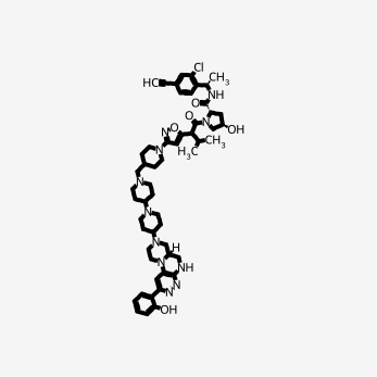 C#Cc1ccc([C@H](C)NC(=O)[C@@H]2C[C@@H](O)CN2C(=O)C(c2cc(N3CCC(CN4CCC(N5CCC(N6CCN7c8cc(-c9ccccc9O)nnc8NC[C@H]7C6)CC5)CC4)CC3)no2)C(C)C)c(Cl)c1